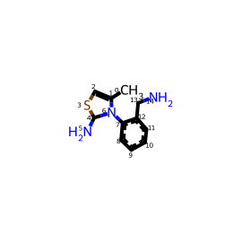 CC1=CSC(N)N1c1ccccc1CN